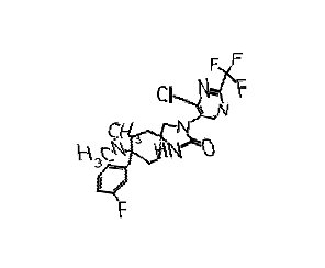 CN(C)[C@]1(c2cccc(F)c2)CC[C@@]2(CC1)CN(c1cnc(C(F)(F)F)nc1Cl)C(=O)N2